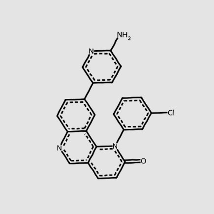 Nc1ccc(-c2ccc3ncc4ccc(=O)n(-c5cccc(Cl)c5)c4c3c2)cn1